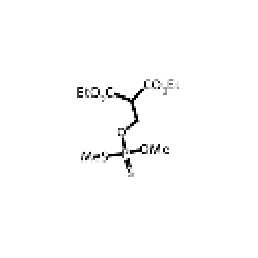 CCOC(=O)C(COP(=S)(OC)SC)C(=O)OCC